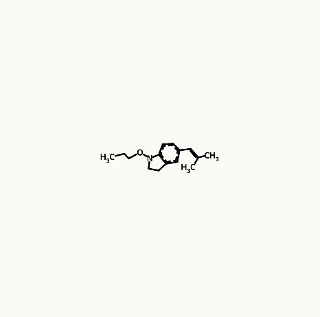 CCCON1CCc2cc(C=C(C)C)ccc21